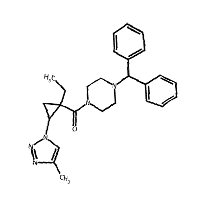 CCC1(C(=O)N2CCN(C(c3ccccc3)c3ccccc3)CC2)CC1n1cc(C)nn1